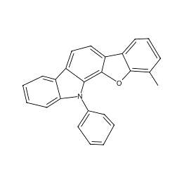 Cc1cccc2c1oc1c2ccc2c3ccccc3n(-c3ccccc3)c21